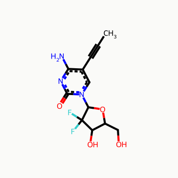 CC#Cc1cn(C2OC(CO)C(O)C2(F)F)c(=O)nc1N